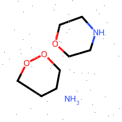 C1CCOOC1.C1COCCN1.N